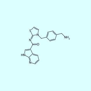 NCc1ccc(Cn2ccs/c2=N/C(=O)c2c[nH]c3ncccc23)cc1